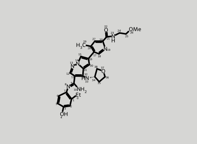 CCc1cc(O)ccc1/N=C(\N)c1cnn2cc(-c3cnc(C(=O)NCCOC)cc3C)cc2c1N[C@H]1CCOC1